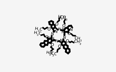 CCCCOc1c2c(c(OCCCC)c3ccccc13)-c1nc-2nc2[nH]c(nc3nc(nc4[nH]c(n1)c1c(OCCCC)c5cccnc5c(OCCCC)c41)-c1c-3c(OCCCC)c3cc4ccccc4cc3c1OCCCC)c1c(OCCCC)c3cc4ccccc4cc3c(OCCCC)c21